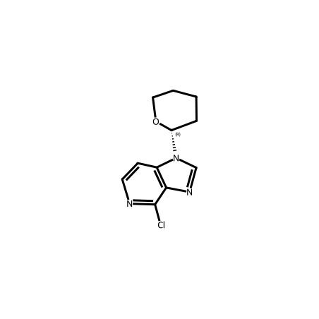 Clc1nccc2c1ncn2[C@H]1CCCCO1